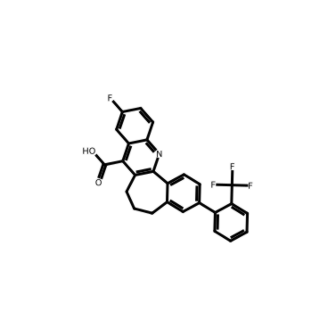 O=C(O)c1c2c(nc3ccc(F)cc13)-c1ccc(-c3ccccc3C(F)(F)F)cc1CCC2